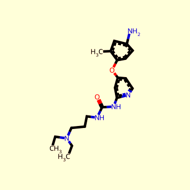 CCN(CC)CCCNC(=O)Nc1cc(Oc2ccc(N)cc2C)ccn1